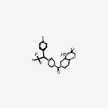 O=C1COC2CCN(C(=O)N3CCN(C(c4ccc(F)cc4)C(F)(F)F)CC3)CC2N1